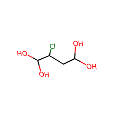 OC(O)CC(Cl)C(O)O